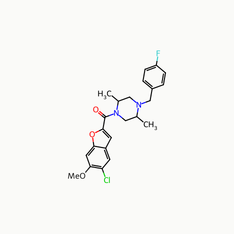 COc1cc2oc(C(=O)N3CC(C)N(Cc4ccc(F)cc4)CC3C)cc2cc1Cl